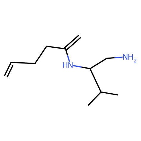 C=CCCC(=C)NC(CN)C(C)C